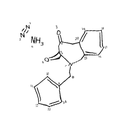 N.N#N.O=C1C(=O)N(Cc2ccccc2)c2ccccc21